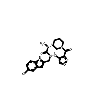 Cc1conc1C(=O)N1CCC[C@@H](N(C)C(=O)NCc2cc3cc(Cl)ccc3[nH]2)C1